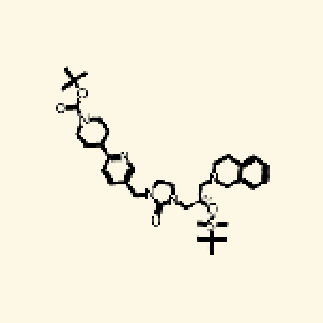 CC(C)(C)OC(=O)N1CCC(c2ccc(CN3CCN(C[C@@H](CN4CCc5ccccc5C4)O[Si](C)(C)C(C)(C)C)C3=O)cn2)CC1